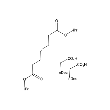 CC(C)OC(=O)CCSCCC(=O)OC(C)C.CCCCCCCCCCCC(=O)O.CCCCCCCCCCCC(=O)O